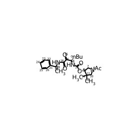 CCCC[C@H](NC(=O)O[C@@H]1CN(C(C)=O)CC1(C)C)C(=O)C(=O)N[C@H](C)c1ccccc1